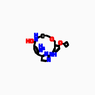 Nc1cc2ccc1-c1ccnc(n1)Nc1ccc(OC3CCC3)c(c1)COCCCCNC2O